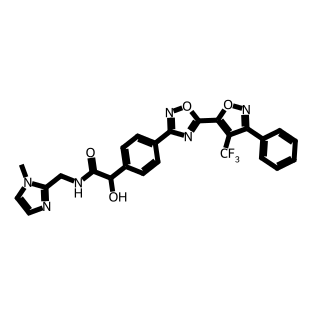 Cn1ccnc1CNC(=O)C(O)c1ccc(-c2noc(-c3onc(-c4ccccc4)c3C(F)(F)F)n2)cc1